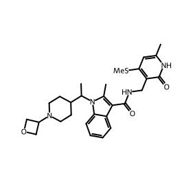 CSc1cc(C)[nH]c(=O)c1CNC(=O)c1c(C)n(C(C)C2CCN(C3COC3)CC2)c2ccccc12